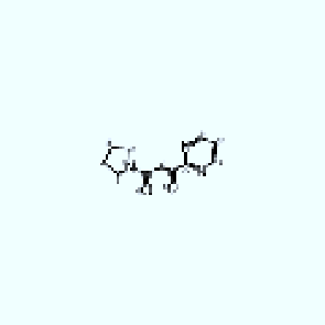 O=C(CC(=O)N1CCCC1)c1ncccn1